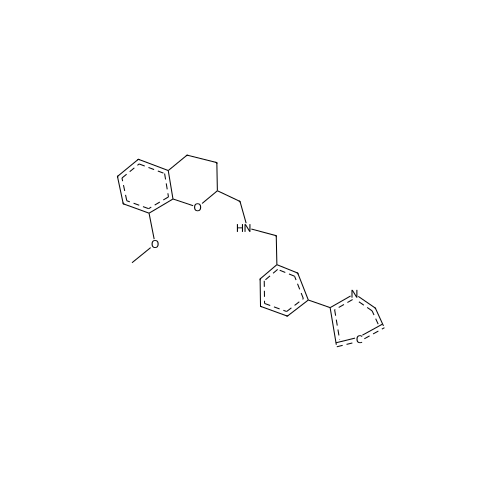 COc1cccc2c1OC(CNCc1cccc(-c3ccccn3)c1)CC2